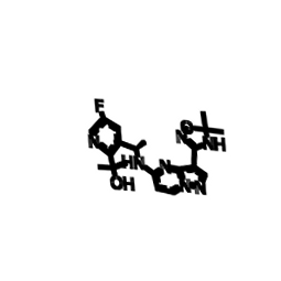 C[C@@H](Nc1ccn2ncc(C3=NOC(C)(C)N3)c2n1)c1cc(F)cnc1C(C)(C)O